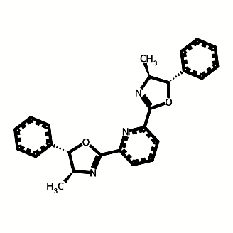 C[C@@H]1N=C(c2cccc(C3=N[C@@H](C)[C@H](c4ccccc4)O3)n2)O[C@H]1c1ccccc1